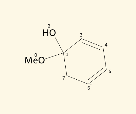 COC1(O)C=CC=[C]C1